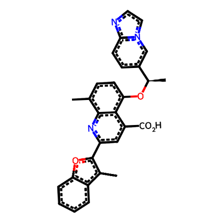 Cc1c(-c2cc(C(=O)O)c3c(O[C@H](C)c4ccc5nccn5c4)ccc(C)c3n2)oc2ccccc12